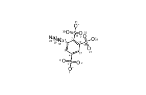 O=S(=O)([O-])c1ccc(S(=O)(=O)[O-])c(S(=O)(=O)[O-])c1.[Na+].[Na+].[Na+]